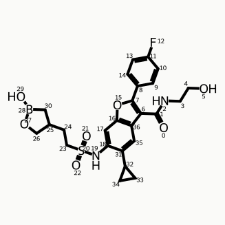 O=C(NCCO)c1c(-c2ccc(F)cc2)oc2cc(NS(=O)(=O)CCC3COB(O)C3)c(C3CC3)cc12